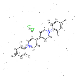 Cc1cc(C)c(-[n+]2ccc(-c3cc[n+](-c4c(C)cc(C)cc4C)cc3)cc2)c(C)c1.[Cl-].[Cl-]